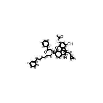 CC(=O)Oc1cc(O)c2c3c1O[C@H]1[C@H](N(CCCCCCc4ccccc4)CC(=O)c4ccccc4)CC[C@H]4[C@@H](C2)N(CC2CC2)CC[C@@]341